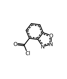 O=C(Cl)c1cccc2onnc12